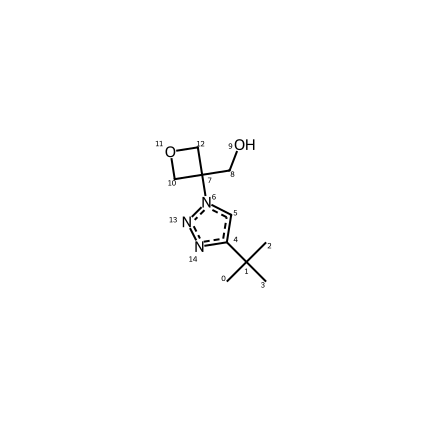 CC(C)(C)c1cn(C2(CO)COC2)nn1